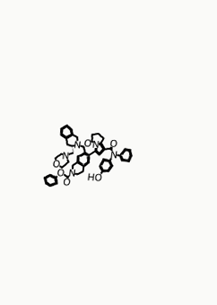 O=C(Oc1ccccc1)N1CCc2cc(-c3cc(C(=O)N(c4ccccc4)c4ccc(O)cc4)c4n3CCCC4)c(C(=O)N3Cc4ccccc4C[C@H]3CN3CCOCC3)cc2C1